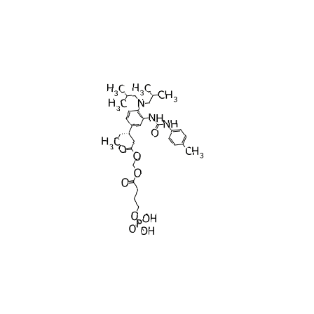 CC[C@@H](CC(=O)OCOC(=O)CCCOP(=O)(O)O)c1ccc(N(CC(C)C)CC(C)C)c(NC(=O)Nc2ccc(C)cc2)c1